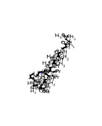 CC[C@H](C)/C=C/C(=O)N1CCC[C@H]1C(=O)N[C@@H](C)C(=O)N[C@](C=O)(CNC(C)(C)C(=O)N[C@@H](CC(C)C)C(=O)N[C@@H](CC(C)C)C(=O)NC(C)(C)C(=O)NC(C)(C)C(=O)NCCC(=O)N[C@@H](C)CN(C)C)[C@H](O)C(C)C